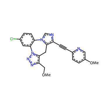 COCc1nnn2c1Cc1c(C#Cc3ccc(OC)cn3)ncn1-c1ccc(Cl)cc1-2